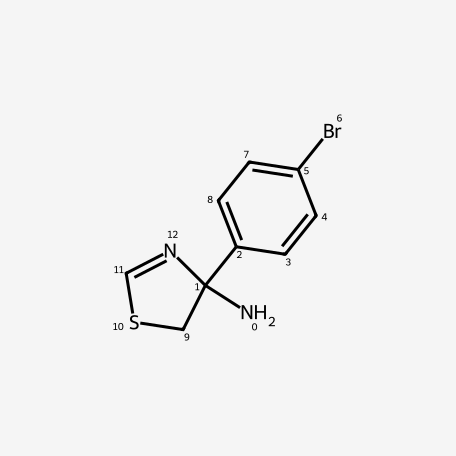 NC1(c2ccc(Br)cc2)CSC=N1